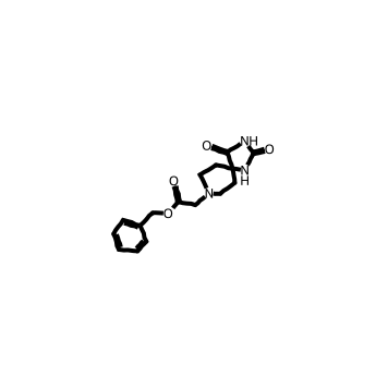 O=C1NC(=O)C2(CCN(CC(=O)OCc3ccccc3)CC2)N1